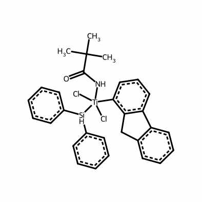 CC(C)(C)C(=O)[NH][Ti]([Cl])([Cl])([c]1cccc2c1Cc1ccccc1-2)[SiH](c1ccccc1)c1ccccc1